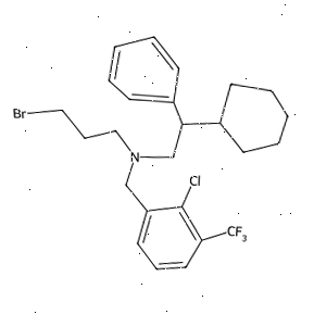 FC(F)(F)c1cccc(CN(CCCBr)CC(c2ccccc2)C2CCCCC2)c1Cl